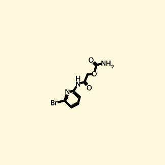 NC(=O)OCC(=O)Nc1cccc(Br)n1